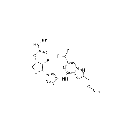 CC(C)NC(=O)O[C@H]1CO[C@@H](c2cc(Nc3nc(C(F)F)cn4nc(COC(F)(F)F)cc34)n[nH]2)[C@H]1F